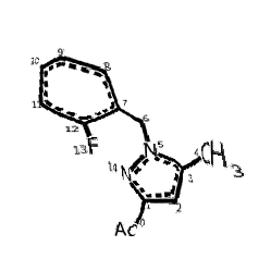 CC(=O)c1cc(C)n(Cc2ccccc2F)n1